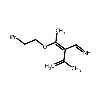 C=C(C)/C(C=N)=C(/C)OCCC(C)C